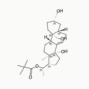 C[C@H](OC(=O)C(C)(C)C)[C@H]1CC[C@]2(O)C3=CC[C@H]4C[C@@H](O)CC[C@]4(CO)[C@H]3CC[C@]12C